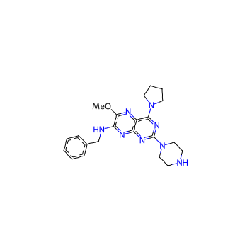 COc1nc2c(N3CCCC3)nc(N3CCNCC3)nc2nc1NCc1ccccc1